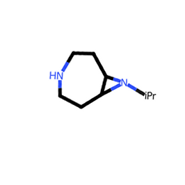 CC(C)N1C2CCNCCC21